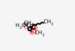 CCCCCC=CC1C2C(O[Si](C)(C)C)CC(=O)C12C(=O)OC